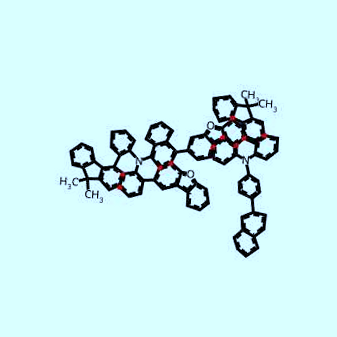 CC1(C)c2ccccc2-c2c(-c3ccccc3N(c3ccc(-c4ccc5ccccc5c4)cc3)c3ccccc3-c3ccc4oc5cc(-c6ccc(N(c7ccccc7-c7ccc8oc9ccccc9c8c7)c7ccccc7-c7cccc8c7-c7ccccc7C8(C)C)c7ccccc67)ccc5c4c3)cccc21